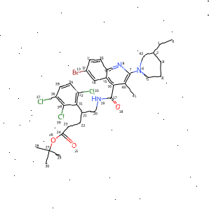 CCC1CCCN(c2nc3ccc(Br)cc3c(C(=O)NCC(CCC(=O)OC(C)(C)C)c3c(Cl)ccc(Cl)c3Cl)c2C)C1